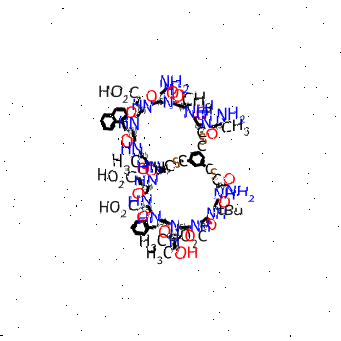 C/C=C(/C[C@@H]1NC(=O)[C@H](Cc2ccccc2)NC(=O)[C@H](CC(=O)O)NC(=O)[C@H](CCC(=O)O)NC(=O)[C@H]2CSCc3cc(cc(c3)CSC[C@H](NC(=O)[C@H](C)N)C(=O)N[C@H](C)C(=O)N[C@@H](CC(N)=O)C(=O)N[C@@H](CCC(=O)O)C(=O)N[C@@H](Cc3cccc4ccccc34)C(=O)N[C@H](C)C(=O)N2)CSC[C@@H](C(N)=O)NC(=O)[C@H](C(C)(C)C)NC(=O)[C@H](CC(=O)O)NC1=O)[C@@H](C)O